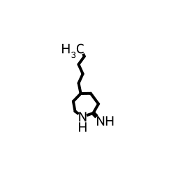 CCCCCC1CCNC(=N)CC1